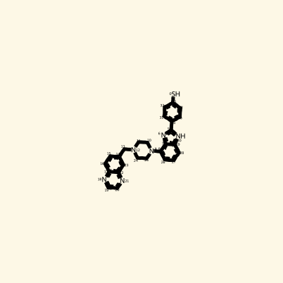 Sc1ccc(-c2nc3c(N4CCN(Cc5ccc6nccnc6c5)CC4)cccc3[nH]2)cc1